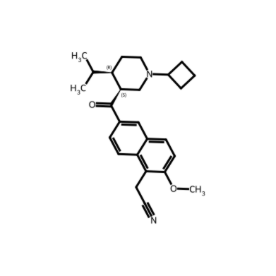 COc1ccc2cc(C(=O)[C@@H]3CN(C4CCC4)CC[C@@H]3C(C)C)ccc2c1CC#N